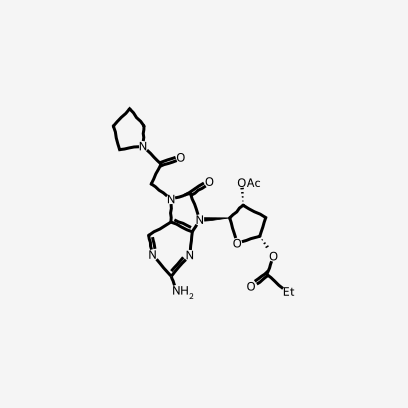 CCC(=O)O[C@H]1C[C@@H](OC(C)=O)[C@H](n2c(=O)n(CC(=O)N3CCCC3)c3cnc(N)nc32)O1